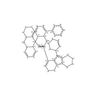 C1=CC2OC3CCCC=C3C3(C2C=C1)C1C=CC(C2=CCCc4c5c(n(C6C=CCCC6)c42)CCCC5)=CC1OC1C(c2ccccc2)=CC=CC13